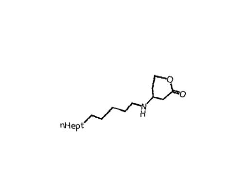 CCCCCCCCCCCCNC1CCOC(=O)C1